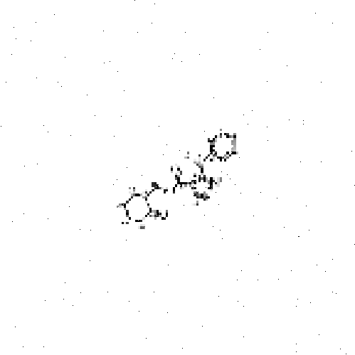 C[C@H](c1ccccc1)n1nncc1C(=O)OCC1CCCCC1=O